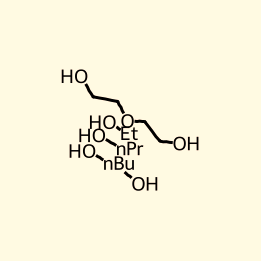 CCCCO.CCCO.CCO.CO.OCCOCCO